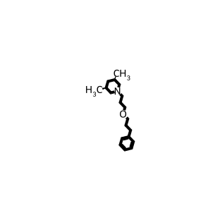 C[C@H]1C[C@H](C)CN(CCCOCCCc2ccccc2)C1